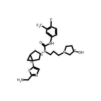 NCc1ncc([C@@]23CC2C[C@H](N(CCCN2CC[C@@H](O)C2)C(=O)Nc2ccc(F)c(C(F)(F)F)c2)C3)s1